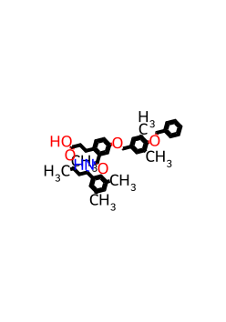 Cc1cc(C)cc(C(CC(C)C)NC(=O)c2cc(OCc3cc(C)c(OCc4ccccc4)c(C)c3)ccc2CCC(=O)O)c1